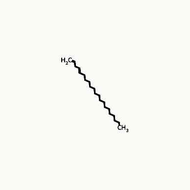 C=CCC=CCCCCCCCCCCCCCCCC